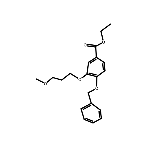 CCOC(=O)c1ccc(OCc2ccccc2)c(OCCCOC)c1